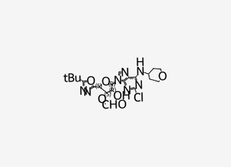 CC(C)(C)c1nnc([C@H]2O[C@@H](n3cnc4c(NC5CCOCC5)nc(Cl)nc43)[C@H](O)[C@@H]2OC=O)o1